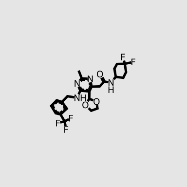 Cc1nc(CC(=O)NC2CCC(F)(F)CC2)c(C2OCCO2)c(NCc2cccc(C(F)(F)F)c2)n1